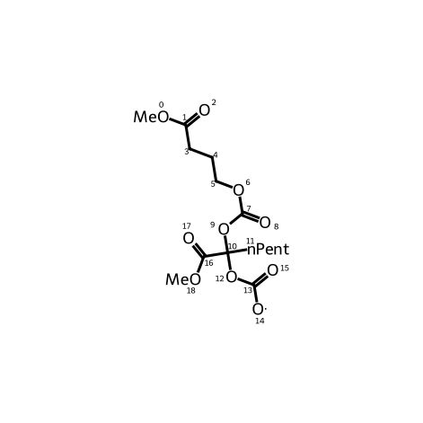 [CH2]OC(=O)CCCOC(=O)OC(CCCCC)(OC([O])=O)C(=O)O[CH2]